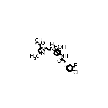 COC(=O)c1cc(C)nn1CCNC12CCC(NC(=O)COc3ccc(Cl)c(F)c3)(CC1)C[C@@H]2O